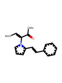 CO/C=C(/C(=O)OC)n1cccc1/C=C/c1ccccc1